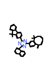 C=C1/C=C\C=C/CC(C)(C)c2cc(-c3nc(-c4ccc5c(c4)C(C)(C)c4ccccc4-5)nc(-c4cccc5ccccc45)n3)ccc21